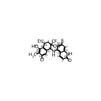 CC[C@H]1C[C@@](O)(C(F)(F)F)[C@@H](Nc2cc(F)cc3[nH]c(=O)ccc23)c2cc(Cl)c(C)c(O)c21